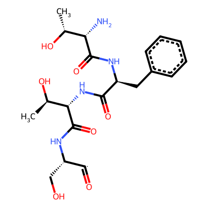 C[C@@H](O)[C@H](N)C(=O)N[C@@H](Cc1ccccc1)C(=O)N[C@H](C(=O)N[C@H]([C]=O)CO)[C@@H](C)O